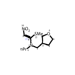 CCCN(CC1CCOC1)/C(=C/[N+](=O)[O-])SC